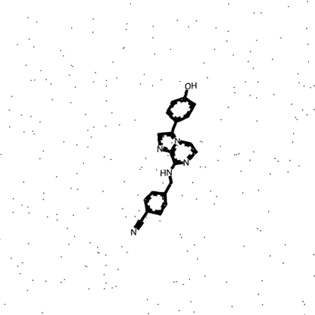 N#Cc1ccc(CNc2nccn3c(-c4ccc(O)cc4)cnc23)cc1